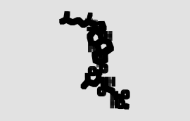 COC(=O)NCC(=O)NC(CC(C)C)C(=O)O[C@H]1CC[C@@]2(C)C(=CC[C@H]3[C@@H]4CC[C@H]([C@H](C)CCCC(C)C)[C@@]4(C)CC[C@@H]32)C1